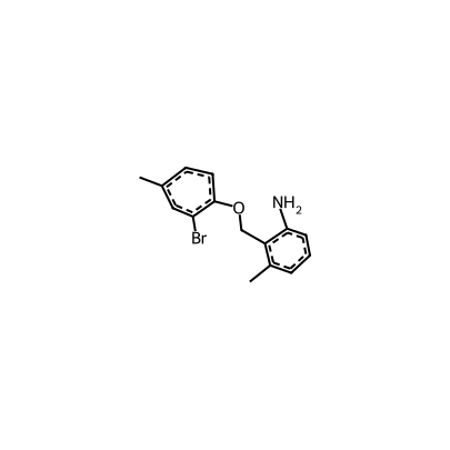 Cc1ccc(OCc2c(C)cccc2N)c(Br)c1